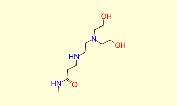 CNC(=O)CCNCCN(CCO)CCO